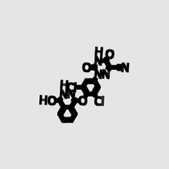 N#Cc1nn(-c2cc(Cl)c(OC3=NNC(O)c4ccccc43)c(Cl)c2)c(=O)[nH]c1=O